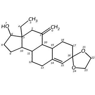 C=C1CC2(CC)C(O)CCC2C2CCC3=CC4(CCC3C12)OCCO4